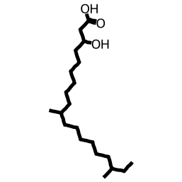 CCC(C)CCCCCCC(C)CCCCCCC(O)CC(=O)O